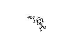 CCC(=O)N(C=O)OC(=O)CCO